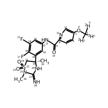 [2H]C([2H])([2H])Oc1ccc(C(=O)Nc2cc(F)c(F)c([C@]3(C)CS(=O)(=O)N(C)C(=N)N3)c2)nc1